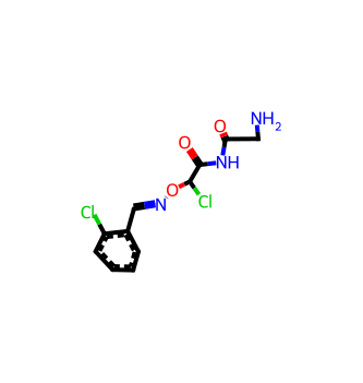 NCC(=O)NC(=O)C(Cl)ON=Cc1ccccc1Cl